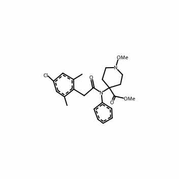 COC(=O)C1(N(C(=O)Cc2c(C)cc(Cl)cc2C)c2ccccc2)CCN(OC)CC1